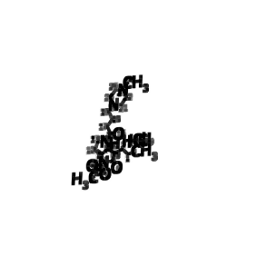 CCC[C@H]1C(=O)N(S(C)(=O)=O)C2=CCN(C(=O)CCCN3CCN(C)CC3)[C@@H]21.Cl.Cl